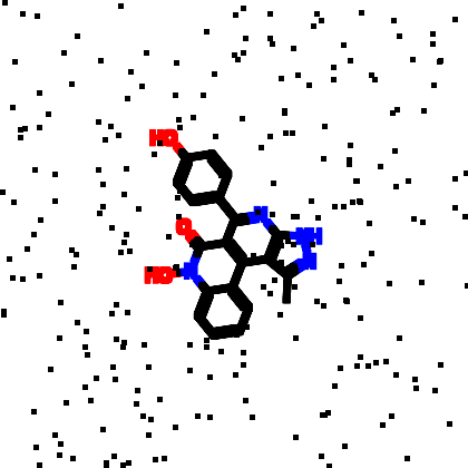 Cc1n[nH]c2nc(-c3ccc(O)cc3)c3c(=O)n(O)c4ccccc4c3c12